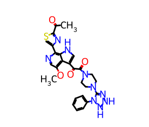 COc1cnc(-c2csc(C(C)=O)n2)c2[nH]cc(C(=O)C(=O)N3CCN(C4=NNNN4c4ccccc4)CC3)c12